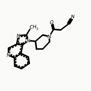 Cc1nc2cnc3ccccc3c2n1C1CCCN(C(=O)CC#N)C1